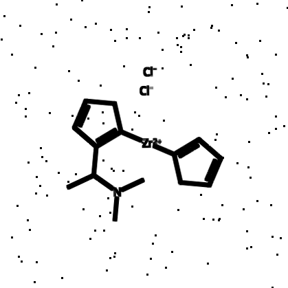 CC(C1=[C]([Zr+2][C]2=CC=CC2)CC=C1)N(C)C.[Cl-].[Cl-]